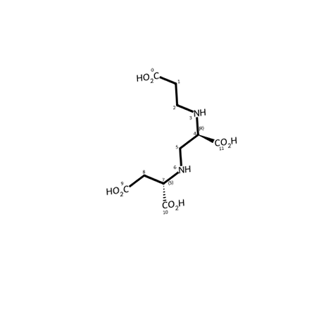 O=C(O)CCN[C@H](CN[C@@H](CC(=O)O)C(=O)O)C(=O)O